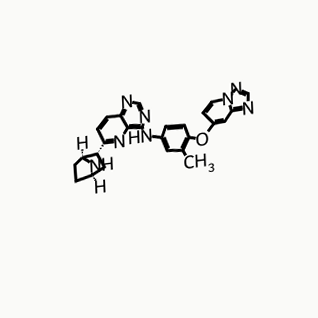 Cc1cc(Nc2ncnc3ccc([C@@H]4C[C@H]5CC[C@@H]4N5)nc23)ccc1Oc1ccn2ncnc2c1